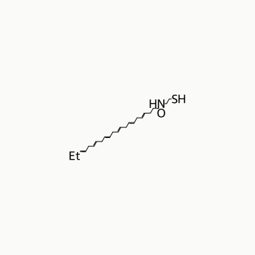 CCC=CCC=CCC=CCC=CCC=CCC=CCCC(=O)NCCS